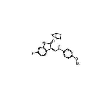 C1CN2CC12.CCOc1ccc(NC=C2C(=O)Nc3cc(F)ccc32)cc1